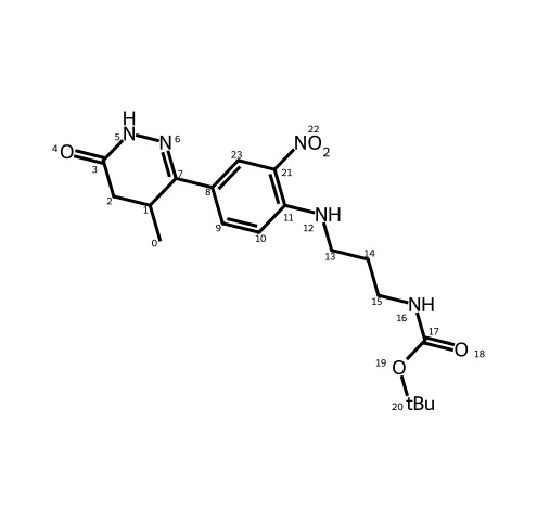 CC1CC(=O)NN=C1c1ccc(NCCCNC(=O)OC(C)(C)C)c([N+](=O)[O-])c1